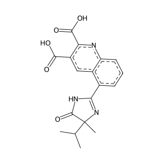 CC(C)C1(C)N=C(c2cccc3nc(C(=O)O)c(C(=O)O)cc23)NC1=O